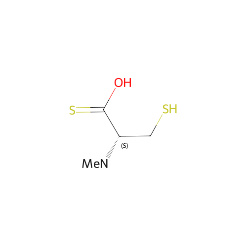 CN[C@@H](CS)C(O)=S